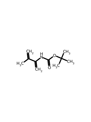 C=C(C)C(=C)NC(=O)OC(C)(C)C